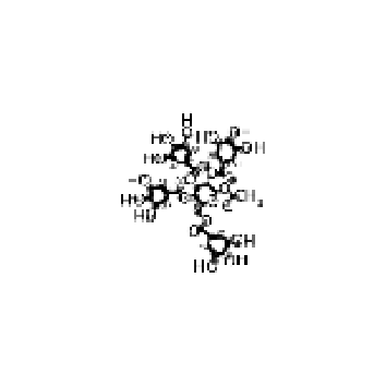 CC(=O)O[C@@H]1OC(COC(=O)c2cc(O)c(O)c(O)c2)[C@@H](OC(=O)c2cc(O)c(O)c(O)c2)C(OC(=O)c2cc(O)c(O)c(O)c2)[C@H]1OC(=O)c1cc(O)c(O)c(O)c1